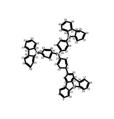 C1=CC(c2cc3c4ccccc4n4c5ccccc5c(c2)c34)CC=C1N(c1ccc(-n2c3ccccc3c3ccccc32)cc1)c1ccc(-n2c3ccccc3c3ccccc32)cc1